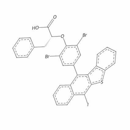 O=C(O)[C@@H](Cc1ccccc1)Oc1c(Br)cc(-c2c3ccccc3c(I)c3sc4ccccc4c23)cc1Br